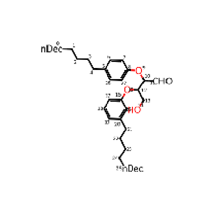 CCCCCCCCCCCCCCc1ccc(OC(C=O)C(CO)Oc2cccc(CCCCCCCCCCCCCC)c2)cc1